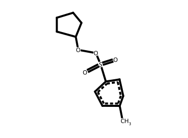 Cc1ccc(S(=O)(=O)OOC2CCCC2)cc1